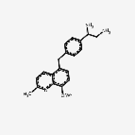 COc1ccc(Cc2ccc(C(N)CN)cc2)c2ccc(C)nc12